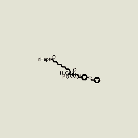 CCCCCCCC(=O)CCCCCC/C=C/[C@H](C(=O)NCCc1ccc(OCc2ccccc2)cc1)[C@](C)(O)C(=O)O